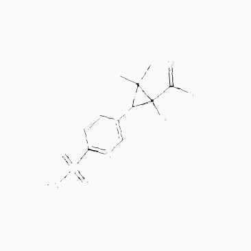 CC1(C)C(c2ccc(S(N)(=O)=O)nc2)C1(O)C(=N)N